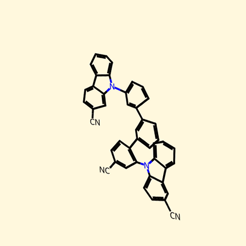 N#Cc1ccc(-c2cccc(-c3cccc(-n4c5ccccc5c5ccc(C#N)cc54)c3)c2)c(-n2c3ccccc3c3cc(C#N)ccc32)c1